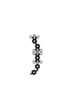 Cc1ccc(Cc2ccc(-n3c(=O)c4cc5c(=O)n(N6C(=O)c7ccc(-c8ccc9c(c8)C(=O)N(C)C9=O)cc7C6=O)c(=O)c5cc4c3=O)cc2)cc1